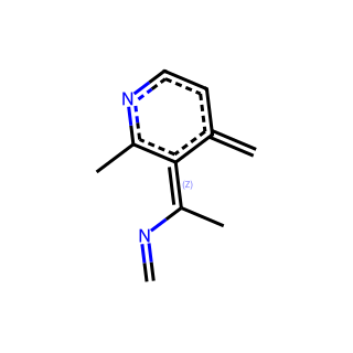 C=N/C(C)=c1\c(C)nccc1=C